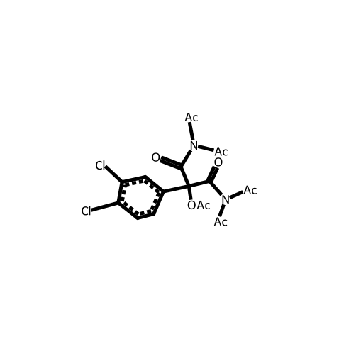 CC(=O)OC(C(=O)N(C(C)=O)C(C)=O)(C(=O)N(C(C)=O)C(C)=O)c1ccc(Cl)c(Cl)c1